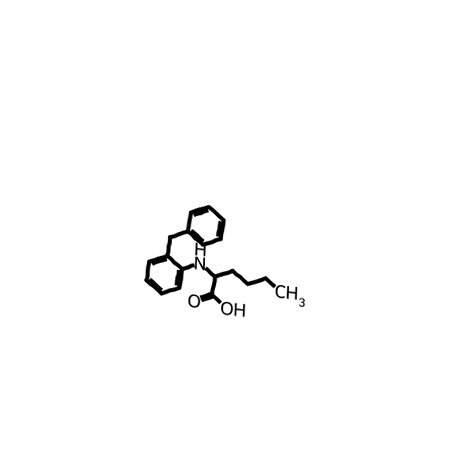 CCCCC(Nc1ccccc1Cc1ccccc1)C(=O)O